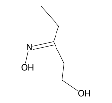 CCC(CCO)=NO